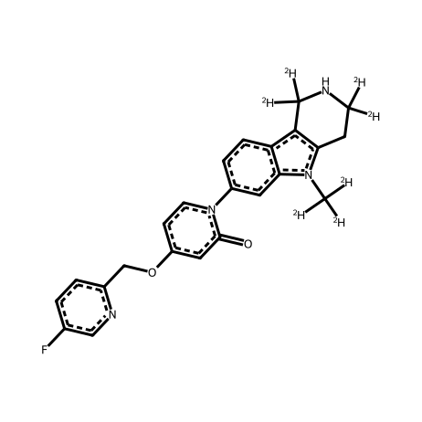 [2H]C1([2H])Cc2c(c3ccc(-n4ccc(OCc5ccc(F)cn5)cc4=O)cc3n2C([2H])([2H])[2H])C([2H])([2H])N1